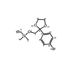 CC(C)(C)[Si](C)(C)OCC1(c2ccc(Br)cc2)OCCO1